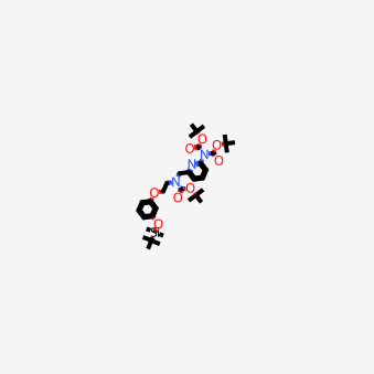 CC(C)(C)OC(=O)N(CCOc1cccc(O[Si](C)(C)C(C)(C)C)c1)Cc1cccc(N(C(=O)OC(C)(C)C)C(=O)OC(C)(C)C)n1